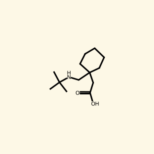 CC(C)(C)NCC1(CC(=O)O)CCCCC1